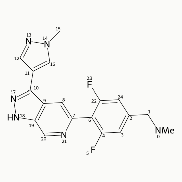 CNCc1cc(F)c(-c2cc3c(-c4cnn(C)c4)n[nH]c3cn2)c(F)c1